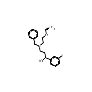 C=COCCN(CC[C@H](O)c1cccc(F)c1)Cc1ccccc1